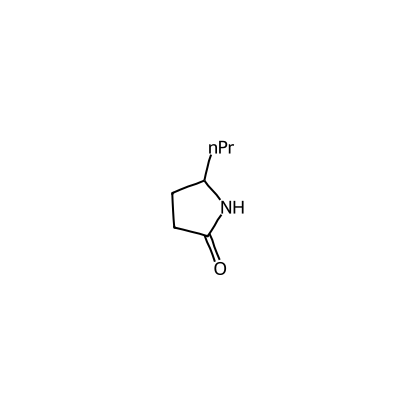 CCCC1CCC(=O)N1